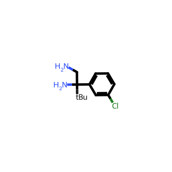 CC(C)(C)C(N)(CN)c1cccc(Cl)c1